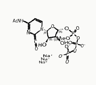 COP(=O)(O[C@H]1O[C@@H](N2C=CC(NC(C)=O)=NC2=C=O)[C@H](O)[C@@H]1O)OP(=O)([O-])OP(=O)([O-])[O-].[Na+].[Na+].[Na+]